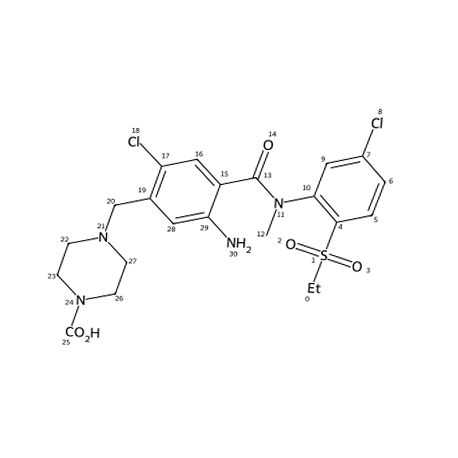 CCS(=O)(=O)c1ccc(Cl)cc1N(C)C(=O)c1cc(Cl)c(CN2CCN(C(=O)O)CC2)cc1N